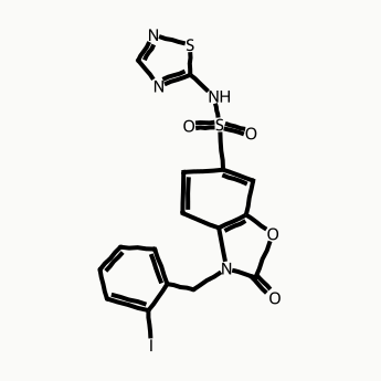 O=c1oc2cc(S(=O)(=O)Nc3ncns3)ccc2n1Cc1ccccc1I